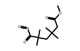 COC(=O)CC(C)(C)CC(C)(C)C(=O)N=O